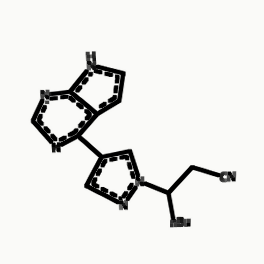 CCCCC(CC#N)n1cc(-c2ncnc3[nH]ccc23)cn1